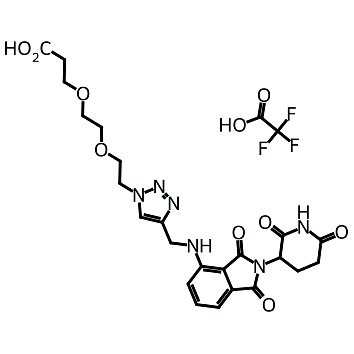 O=C(O)C(F)(F)F.O=C(O)CCOCCOCCn1cc(CNc2cccc3c2C(=O)N(C2CCC(=O)NC2=O)C3=O)nn1